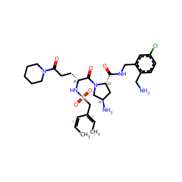 C/C=C\C(=C/C)CS(=O)(=O)N[C@H](CCC(=O)N1CCCCC1)C(=O)N1C[C@H](N)C[C@H]1C(=O)NCc1cc(Cl)ccc1CN